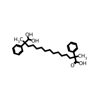 CC(CCCCCCCCCCCC(C)(c1ccccc1)C(O)O)(C(=O)O)c1ccccc1